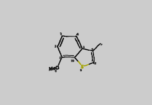 COc1cccc2c(C)[c]sc12